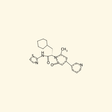 Cc1cc(-c2cccnc2)cc(=O)n1[C@@H](CC1CCCCC1)C(=O)Nc1nccs1